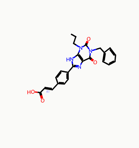 CCCn1c(=O)n(Cc2ccccc2)c(=O)c2nc(-c3ccc(/C=C/C(=O)O)cc3)[nH]c21